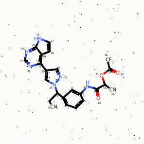 N#CCC(c1cccc(NC(=O)C(C#N)OC(=O)C(F)(F)F)c1)n1cc(-c2ncnc3[nH]ccc23)cn1